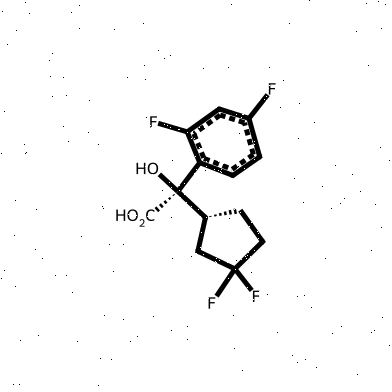 O=C(O)[C@](O)(c1ccc(F)cc1F)[C@@H]1CCC(F)(F)C1